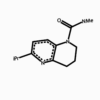 CNC(=O)N1CCCc2nc(C(C)C)ccc21